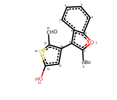 CCCCc1oc2ccccc2c1-c1cc(O)sc1C=O